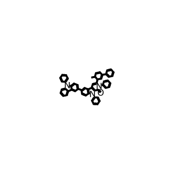 CC1C=CC(c2ccccc2)=CC1c1cc2c3cc(-c4ccc5c(c4)c4ccccc4n5-c4ccccc4)ccc3n(-c3ccccc3)c2c(=O)n1-c1ccccc1